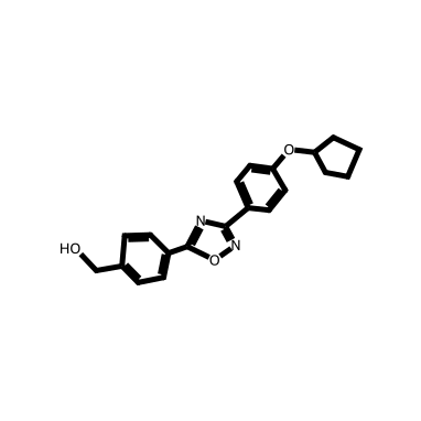 OCc1ccc(-c2nc(-c3ccc(OC4CCCC4)cc3)no2)cc1